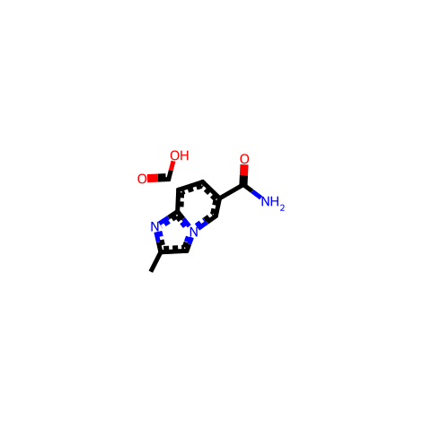 Cc1cn2cc(C(N)=O)ccc2n1.O=CO